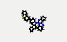 c1ccc2c(c1)ccc1c2c2cc(-c3ccc4sc5ccccc5c4c3)ccc2n1-c1nc2ccccc2c2nc3ccccc3n12